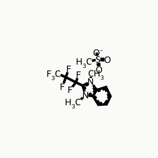 CS(=O)(=O)[O-].Cn1c(C(F)(F)C(F)(F)C(F)(F)F)[n+](C)c2ccccc21